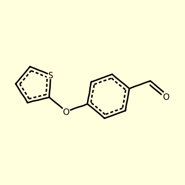 O=Cc1ccc(Oc2cccs2)cc1